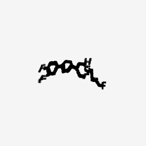 FCCCC[SiH]1CCC(c2ccc(-c3ccc(F)c(F)c3)cc2)CC1